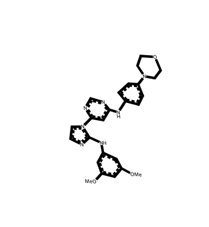 COc1cc(Nc2nccn2-c2cc(Nc3ccc(N4CCOCC4)cc3)ncn2)cc(OC)c1